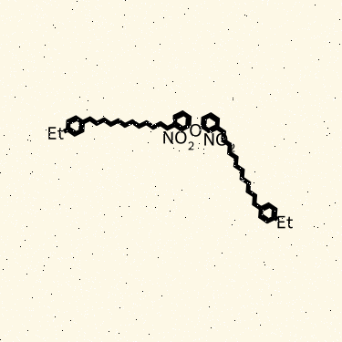 CCc1ccc(CCCCCCCCCCCCc2cccc(Oc3cccc(CCCCCCCCCCCCc4ccc(CC)cc4)c3[N+](=O)[O-])c2[N+](=O)[O-])cc1